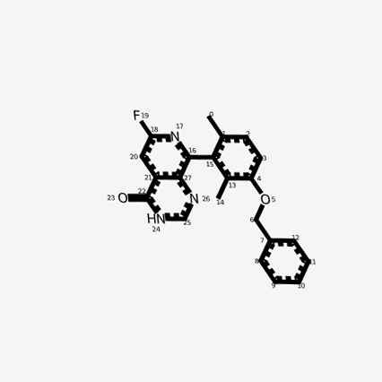 Cc1ccc(OCc2ccccc2)c(C)c1-c1nc(F)cc2c(=O)[nH]cnc12